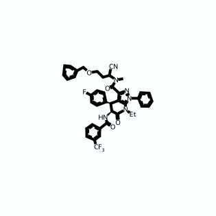 CCN1C(=O)[C@@H](NC(=O)c2cccc(C(F)(F)F)c2)[C@@H](c2ccc(F)cc2)c2c(C(=O)N(C)C(C#N)CCOCc3ccccc3)nn(-c3ccccc3)c21